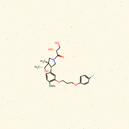 COc1ccc([C@@H]2CN(C(=O)[C@H](O)CO)C[C@@]2(C)[C@@H](C)O)cc1OCCCOc1ccc(F)cc1